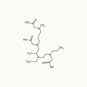 CCCN(CCN(CC)C(C)CN(CCCN(C)CC(=O)O)CC(=O)O)CC(=O)O